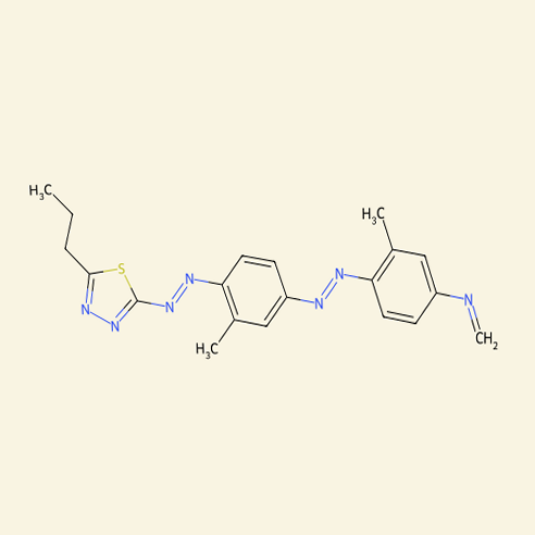 C=Nc1ccc(/N=N/c2ccc(/N=N/c3nnc(CCC)s3)c(C)c2)c(C)c1